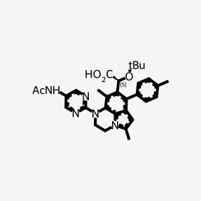 CC(=O)Nc1cnc(N2CCn3c(C)cc4c(-c5ccc(C)cc5)c([C@H](OC(C)(C)C)C(=O)O)c(C)c2c43)nc1